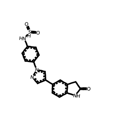 O=C1Cc2cc(-c3cnn(-c4ccc(N[SH](=O)=O)cc4)c3)ccc2N1